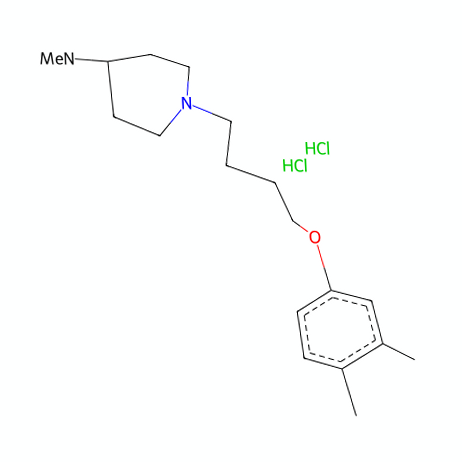 CNC1CCN(CCCCOc2ccc(C)c(C)c2)CC1.Cl.Cl